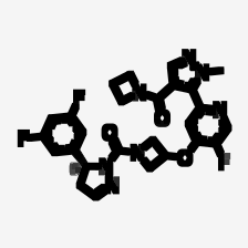 Cn1ncc(C(=O)N2CCC2)c1-c1cc(OC2CN(C(=O)N3N=CC[C@H]3c3cc(F)cc(F)c3)C2)c(F)cn1